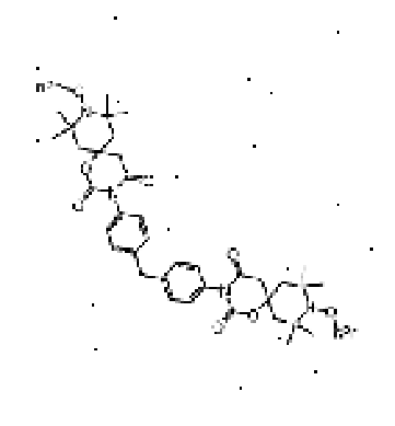 CCCON1C(C)(C)CC2(CC(=O)N(c3ccc(Cc4ccc(N5C(=O)CC6(CC(C)(C)N(OCCC)C(C)(C)C6)OC5=O)cc4)cc3)C(=O)O2)CC1(C)C